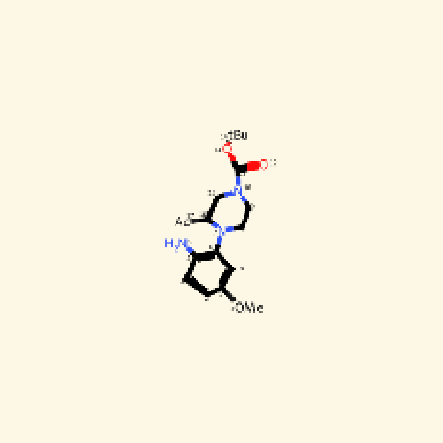 COc1ccc(N)c(N2CCN(C(=O)OC(C)(C)C)CC2C(C)=O)c1